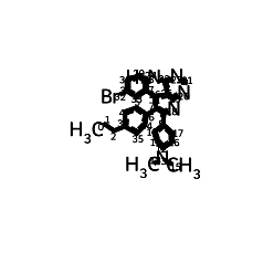 CCCc1ccc(-c2c(-c3ccc(N(C)C)cc3)nc3ncnc(N)c3c2-c2cccc(Br)c2)cc1